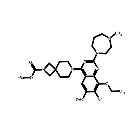 CN1CCCN(c2nc(N3CCC4(CC3)CN(C(=O)OC(C)(C)C)C4)c3cc(C=O)c(Br)c(OCC(F)(F)F)c3n2)CC1